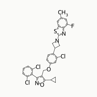 Cc1cc(F)c2nc(N3CC(c4ccc(OCc5c(-c6c(Cl)cccc6Cl)noc5C5CC5)cc4Cl)C3)sc2c1